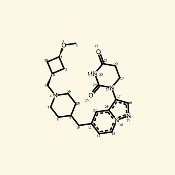 CO[C@H]1C[C@@H](CN2CCC(Cc3ccn4ncc(N5CCC(=O)NC5=O)c4c3)CC2)C1